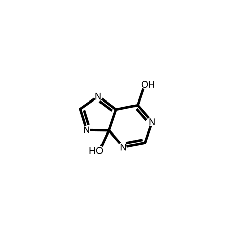 OC1=NC=NC2(O)N=CN=C12